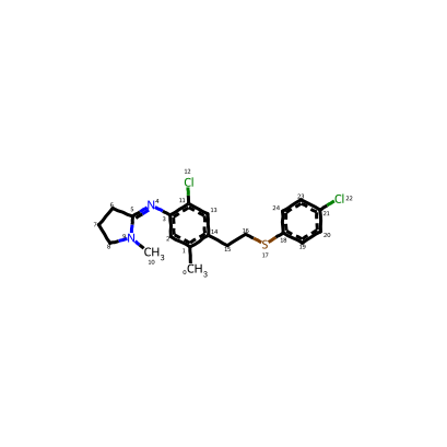 Cc1cc(N=C2CCCN2C)c(Cl)cc1CCSc1ccc(Cl)cc1